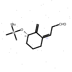 C=C1/C(=C\CC=O)CCC[C@@H]1O[Si](C)(C)C(C)(C)C